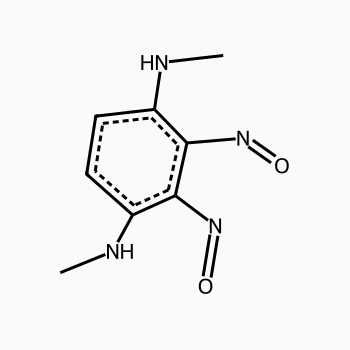 CNc1ccc(NC)c(N=O)c1N=O